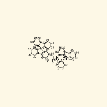 c1ccc(N(c2ccc3cc4c(cc3c2)C2(c3ccccc3-c3ccccc32)c2ccccc2-4)c2cccc3c2sc2ccccc23)cc1